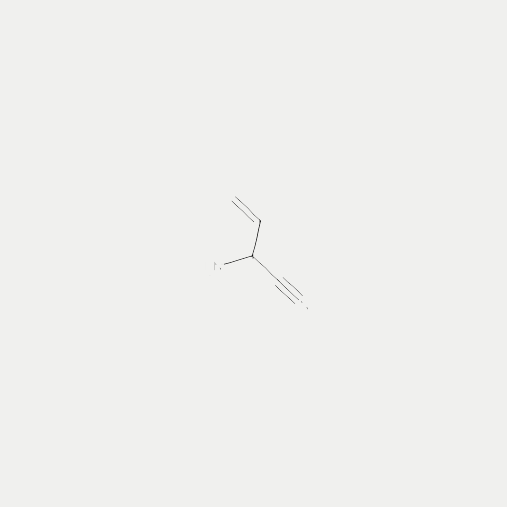 C=C[C](N)C#N